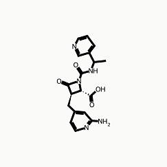 CC(NC(=O)N1C(=O)[C@H](Cc2ccnc(N)c2)[C@H]1C(=O)O)c1cccnc1